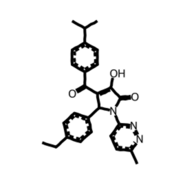 CCc1ccc(C2C(C(=O)c3ccc(C(C)C)cc3)=C(O)C(=O)N2c2ccc(C)nn2)cc1